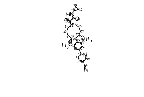 Cc1cc(-c2ccc(C#N)cn2)cc(C)c1C1C(=O)CCCN(C(=O)C(=O)NC2CC2)CCCC1=O